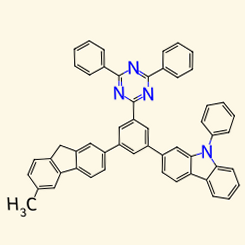 Cc1ccc2c(c1)-c1ccc(-c3cc(-c4ccc5c6ccccc6n(-c6ccccc6)c5c4)cc(-c4nc(-c5ccccc5)nc(-c5ccccc5)n4)c3)cc1C2